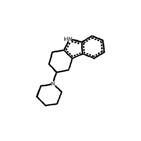 c1ccc2c3c([nH]c2c1)CCC(N1CCCCC1)C3